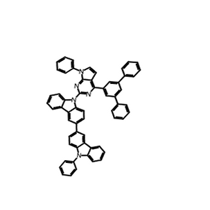 c1ccc(-c2cc(-c3ccccc3)cc(-c3nc(-n4c5ccccc5c5cc(-c6ccc7c(c6)c6ccccc6n7-c6ccccc6)ccc54)nc4c3ccn4-c3ccccc3)c2)cc1